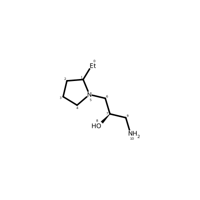 CCC1CCCN1C[C@H](O)CN